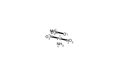 N.N.O=[N+]([O-])[O-].O=[N+]([O-])[Pd][N+](=O)[O-]